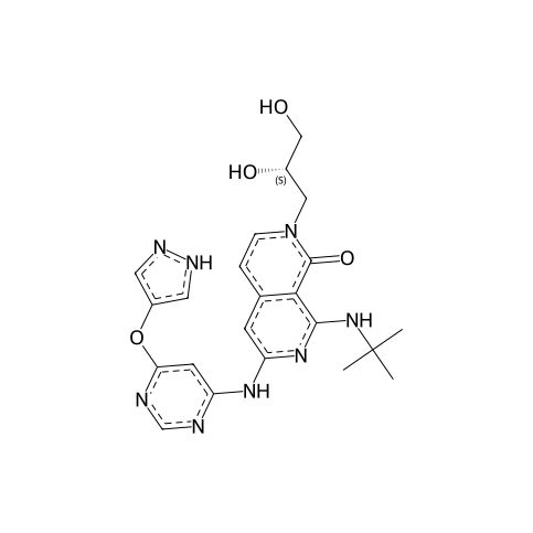 CC(C)(C)Nc1nc(Nc2cc(Oc3cn[nH]c3)ncn2)cc2ccn(C[C@H](O)CO)c(=O)c12